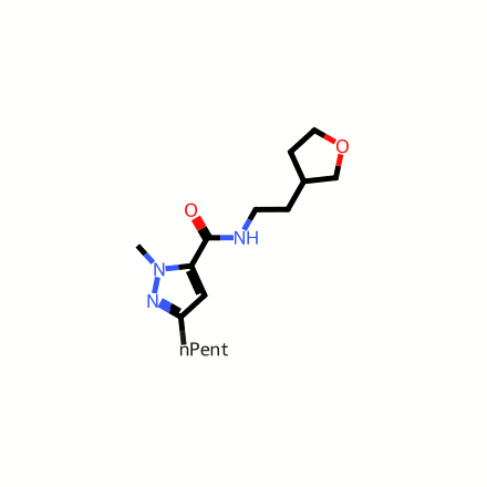 CCCCCc1cc(C(=O)NCCC2CCOC2)n(C)n1